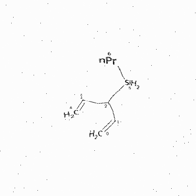 C=CC(C=C)[SiH2]CCC